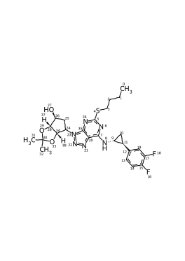 CCCCSc1nc(N[C@@H]2C[C@H]2c2ccc(F)c(F)c2)c2nnn(C3C[C@H](O)[C@H]4OC(C)(C)O[C@@H]34)c2n1